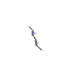 [CH2]/C=C/C=[C]/C